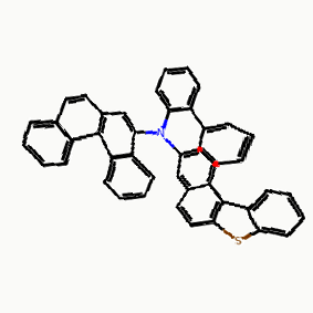 c1ccc(-c2ccccc2N(c2ccc3c(ccc4sc5ccccc5c43)c2)c2cc3ccc4ccccc4c3c3ccccc23)cc1